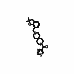 CC1(C)Cc2cccc(CN3CCC4(CC3)CCN(C(=O)c3csnn3)CC4)c2O1